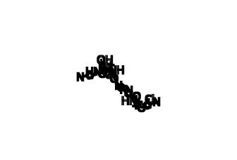 CC(C)(C)C(NC(=O)COCCN1CCN(c2ccc(C(=O)NC3C(C)(C)C(Oc4ccc(C#N)c(Cl)c4)C3(C)C)cn2)CC1)C(=O)N1C[C@H](O)C[C@H]1C(=O)NCc1ccc(C#N)cc1